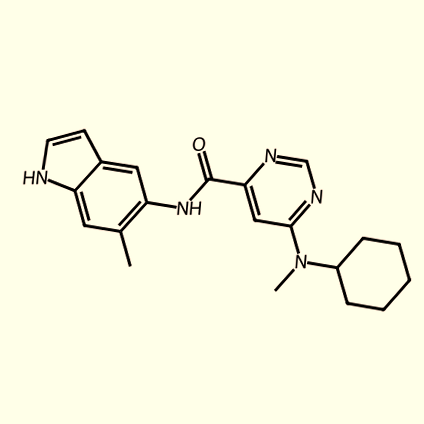 Cc1cc2[nH]ccc2cc1NC(=O)c1cc(N(C)C2CCCCC2)ncn1